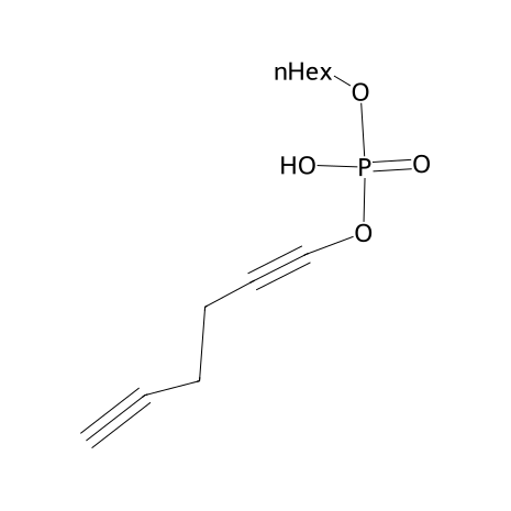 C#CCCC#COP(=O)(O)OCCCCCC